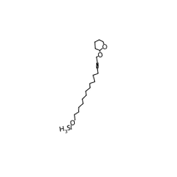 [SiH3]OCCCCCCCCCCCCCC#CCOC1CCCCO1